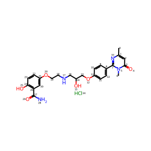 Cc1cc(=O)n(C)c(-c2ccc(OCC(O)CNCCOc3ccc(O)c(C(N)=O)c3)cc2)n1.Cl